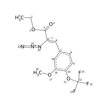 CCOC(=O)/C(=C/c1ccc(OC(F)(F)F)c(OC)c1)N=[N+]=[N-]